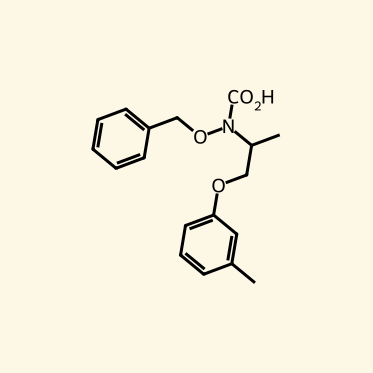 Cc1cccc(OCC(C)N(OCc2ccccc2)C(=O)O)c1